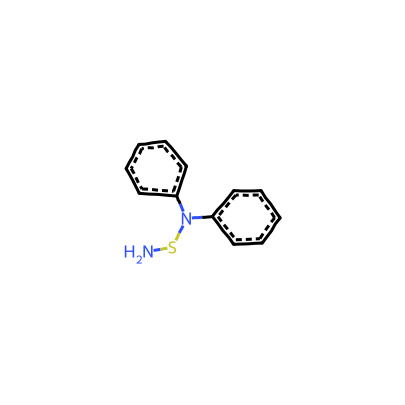 NSN(c1ccccc1)c1ccccc1